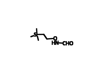 C[Si](C)(C)CCONC=O